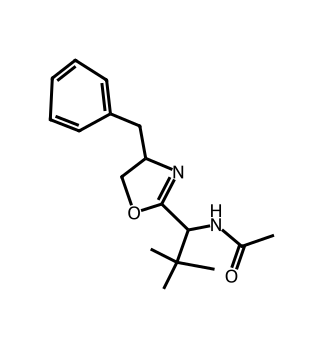 CC(=O)NC(C1=NC(Cc2ccccc2)CO1)C(C)(C)C